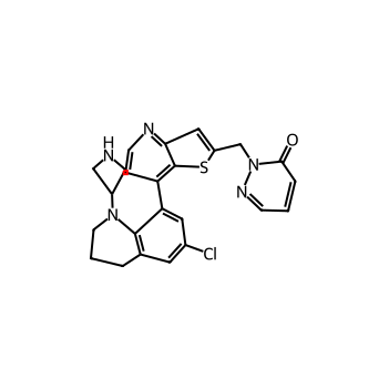 O=c1cccnn1Cc1cc2nccc(-c3cc(Cl)cc4c3N(C3CNC3)CCC4)c2s1